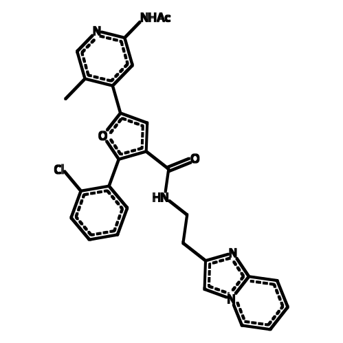 CC(=O)Nc1cc(-c2cc(C(=O)NCCc3cn4ccccc4n3)c(-c3ccccc3Cl)o2)c(C)cn1